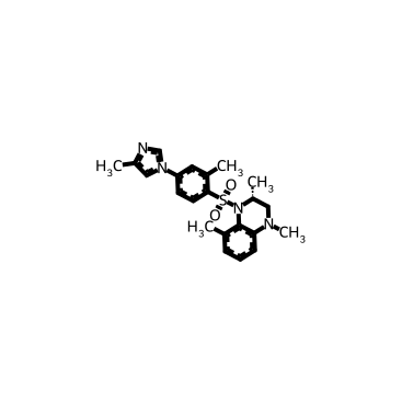 Cc1cn(-c2ccc(S(=O)(=O)N3c4c(C)cccc4N(C)C[C@H]3C)c(C)c2)cn1